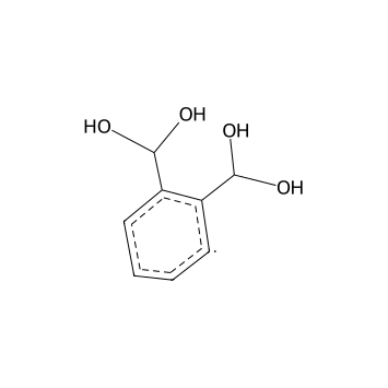 OC(O)c1[c]cccc1C(O)O